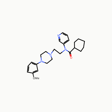 COc1cccc(N2CCN(CCN(C(=O)C3CCCCC3)c3cccnc3)CC2)c1